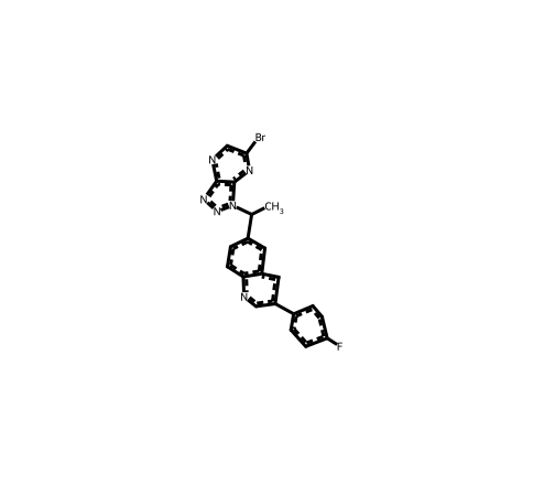 CC(c1ccc2ncc(-c3ccc(F)cc3)cc2c1)n1nnc2ncc(Br)nc21